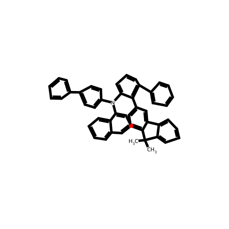 CC1(C)c2ccccc2-c2cc(-c3c(-c4ccccc4)cccc3N(c3ccc(-c4ccccc4)cc3)c3cccc4ccccc34)ccc21